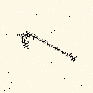 Cc1c(-c2ccc(CC(NC(=O)c3c(F)cc(CNC(=O)CCOCCOCCOCCOCCOCCOCCOCCOCCNC(=O)CCN4C(=O)C=CC4=O)cc3F)C(=O)O)cc2)c(=O)n(C)c(=O)n1C